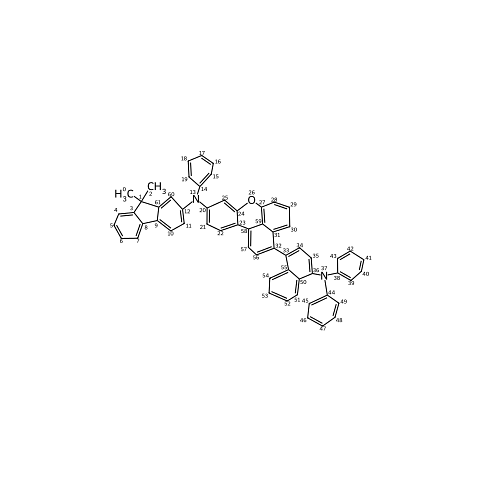 CC1(C)c2ccccc2-c2ccc(N(c3ccccc3)c3ccc4c(c3)Oc3cccc5c(-c6ccc(N(c7ccccc7)c7ccccc7)c7ccccc67)ccc-4c35)cc21